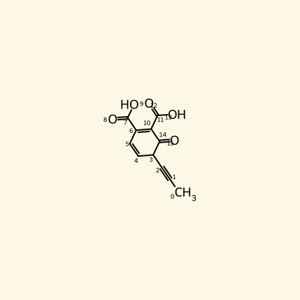 CC#CC1C=CC(C(=O)O)=C(C(=O)O)C1=O